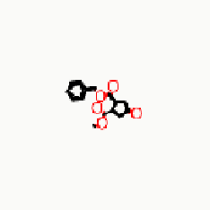 COC(=O)[C@@H]1CC(=O)CC1C(=O)OCc1ccccc1